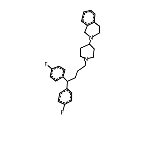 Fc1ccc(C(CCCN2CCC(N3CCc4ccccc4C3)CC2)c2ccc(F)cc2)cc1